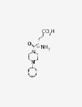 N[C@@H](CCC(=O)O)C(=O)N1CCN(c2ccccc2)CC1